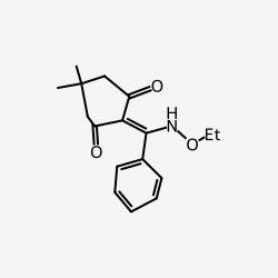 CCONC(=C1C(=O)CC(C)(C)CC1=O)c1ccccc1